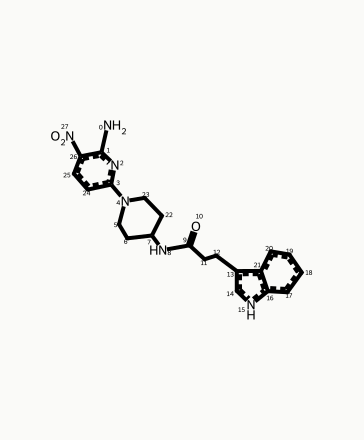 Nc1nc(N2CCC(NC(=O)CCc3c[nH]c4ccccc34)CC2)ccc1[N+](=O)[O-]